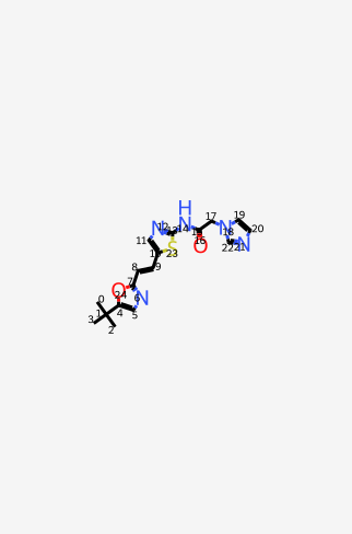 CC(C)(C)c1cnc(C=Cc2cnc(NC(=O)Cn3ccnc3)s2)o1